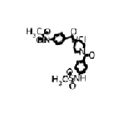 CS(=O)(=O)Nc1ccc(C(=O)C2CCN(C(=O)c3ccc(NS(C)(=O)=O)cc3)CC2)cc1.Cl